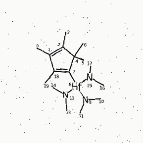 CC1=C(C)C(C)(C)[C]([Hf]([N](C)C)([N](C)C)[N](C)C)=C1C